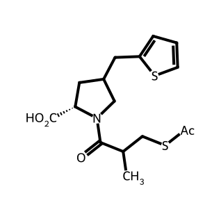 CC(=O)SCC(C)C(=O)N1CC(Cc2cccs2)C[C@H]1C(=O)O